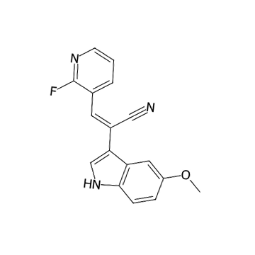 COc1ccc2[nH]cc(C(C#N)=Cc3cccnc3F)c2c1